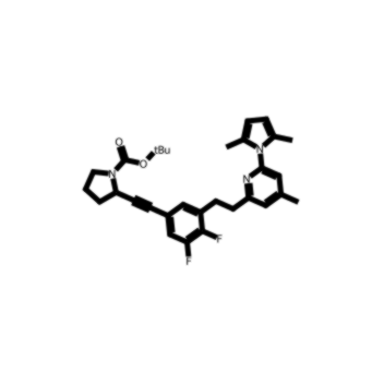 Cc1cc(CCc2cc(C#CC3CCCN3C(=O)OC(C)(C)C)cc(F)c2F)nc(-n2c(C)ccc2C)c1